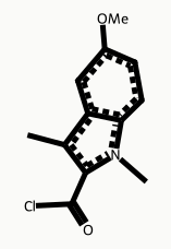 COc1ccc2c(c1)c(C)c(C(=O)Cl)n2C